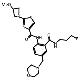 COC1CN(c2nc(C(=O)Nc3ccc(CN4CCOCC4)cc3C(=O)NCCCF)cs2)C1